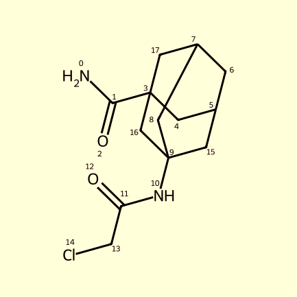 NC(=O)C12CC3CC(CC(NC(=O)CCl)(C3)C1)C2